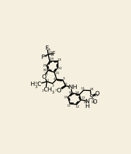 CC1(C)CC(=CC(=O)Nc2cccc3c2CCS(=O)(=O)N3)c2ccc(C(F)(F)F)cc2O1